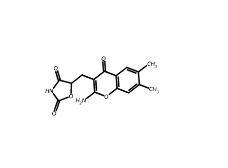 Cc1cc2oc(N)c(CC3OC(=O)NC3=O)c(=O)c2cc1C